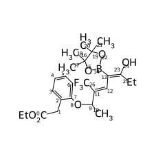 CCOC(=O)Cc1ccccc1OC(C)/C(=C/C(B1OC(C)(C)C(C)(C)O1)=C(/O)CC)C(F)(F)F